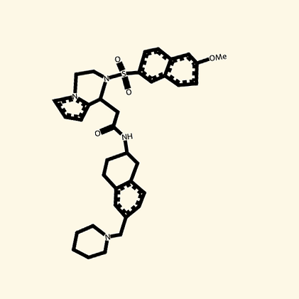 COc1ccc2cc(S(=O)(=O)N3CCn4cccc4C3CC(=O)NC3CCc4cc(CN5CCCCC5)ccc4C3)ccc2c1